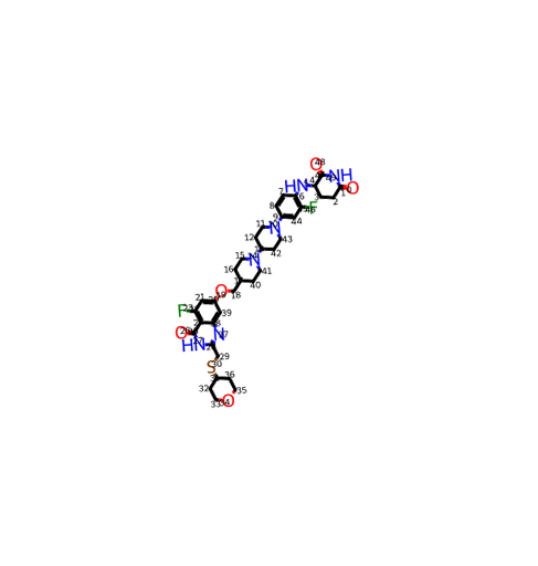 O=C1CCC(Nc2ccc(N3CCC(N4CCC(COc5cc(F)c6c(=O)[nH]c(CSC7CCOCC7)nc6c5)CC4)CC3)cc2F)C(=O)N1